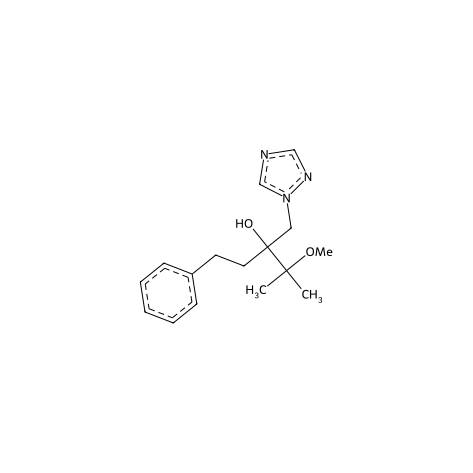 COC(C)(C)C(O)(CCc1ccccc1)Cn1cncn1